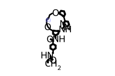 C=CC(=O)NCc1ccc(C(=O)Nc2cc3cc(c2)Nc2nccc(n2)-c2cccc(c2)OCC/C=C/COC3)cc1